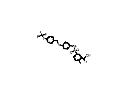 Cc1ccc(S(=O)(=O)Nc2ccc(SCc3ccc(SC(F)(F)F)cc3)cc2)cc1C(=O)O